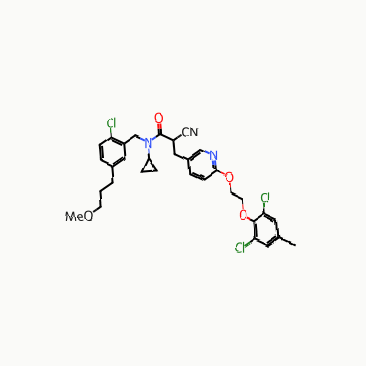 COCCCc1ccc(Cl)c(CN(C(=O)C(C#N)Cc2ccc(OCCOc3c(Cl)cc(C)cc3Cl)nc2)C2CC2)c1